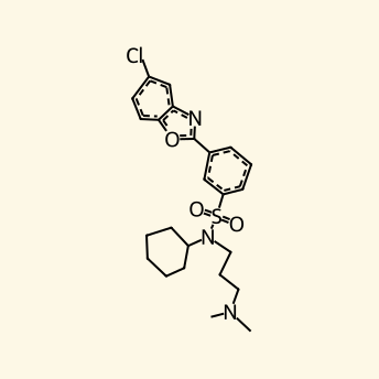 CN(C)CCCN(C1CCCCC1)S(=O)(=O)c1cccc(-c2nc3cc(Cl)ccc3o2)c1